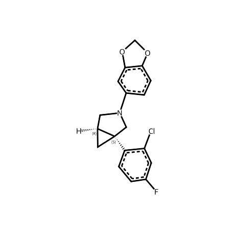 Fc1ccc([C@]23C[C@H]2CN(c2ccc4c(c2)OCO4)C3)c(Cl)c1